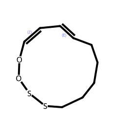 C1=C\OOSSCCCCC/C=C/1